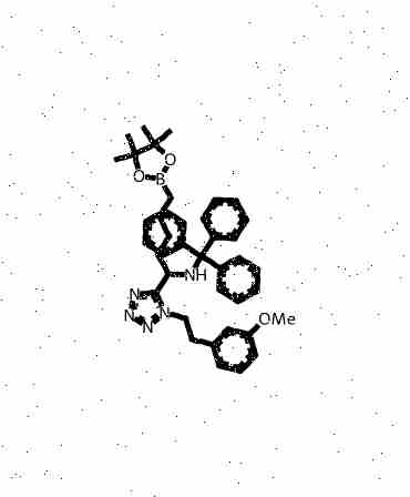 COc1cccc(CCn2nnnc2C(CCCCB2OC(C)(C)C(C)(C)O2)NC(c2ccccc2)(c2ccccc2)c2ccccc2)c1